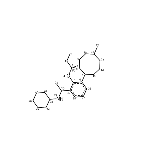 CC[C@@H](C)Oc1c(C2CCCC(C)CCC2)cccc1C(C)NC1CCCCC1